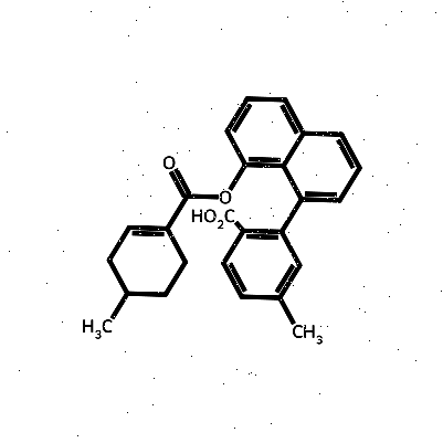 Cc1ccc(C(=O)O)c(-c2cccc3cccc(OC(=O)C4=CCC(C)CC4)c23)c1